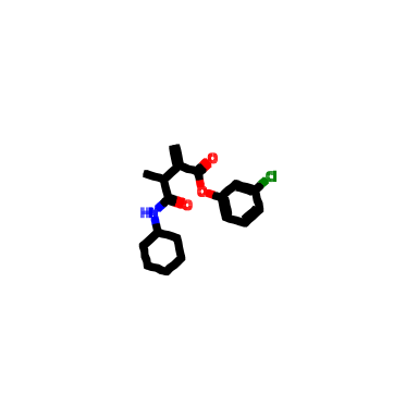 C=C(C(=O)Oc1cccc(Cl)c1)C(C)C(=O)NC1CCCCC1